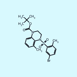 Cc1ccc(Br)cc1S(=O)(=O)N1CCN(C(=O)OC(C)(C)C)c2cccc(C)c21